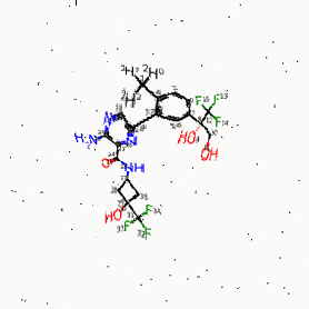 [2H]C([2H])([2H])c1ccc([C@](O)(CO)C(F)(F)F)cc1-c1cnc(N)c(C(=O)NC2CC(O)(C(F)(F)F)C2)n1